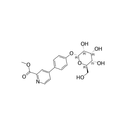 COC(=O)c1cc(-c2ccc(O[C@H]3O[C@H](CO)[C@@H](O)[C@@H](O)[C@H]3O)cc2)ccn1